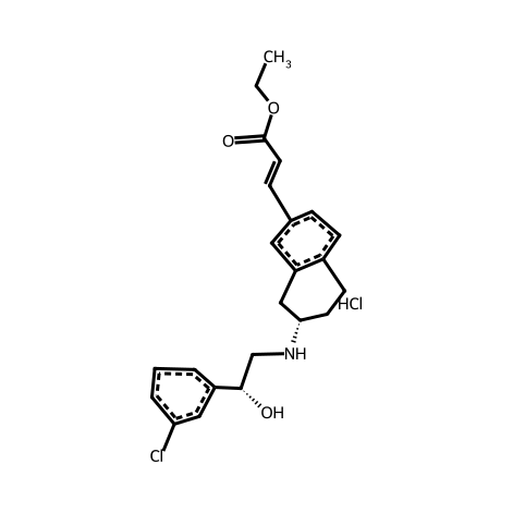 CCOC(=O)C=Cc1ccc2c(c1)C[C@@H](NC[C@H](O)c1cccc(Cl)c1)CC2.Cl